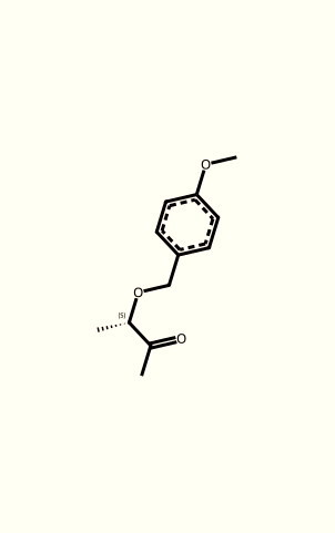 COc1ccc(CO[C@@H](C)C(C)=O)cc1